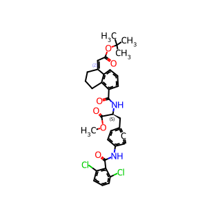 COC(=O)[C@H](Cc1ccc(NC(=O)c2c(Cl)cccc2Cl)cc1)NC(=O)c1cccc2c1CCC/C2=C/C(=O)OC(C)(C)C